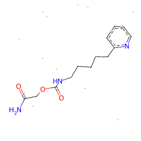 NC(=O)COC(=O)NCCCCCc1ccccn1